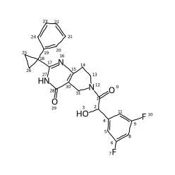 O=C(C(O)c1cc(F)cc(F)c1)N1CCc2nc(C3(c4ccccc4)CC3)[nH]c(=O)c2C1